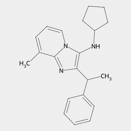 Cc1cccn2c(NC3CCCC3)c(C(C)c3ccccc3)nc12